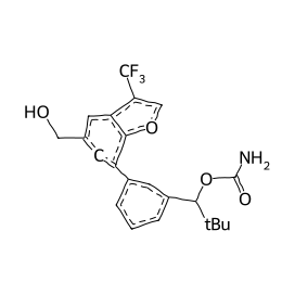 CC(C)(C)C(OC(N)=O)c1cccc(-c2cc(CO)cc3c(C(F)(F)F)coc23)c1